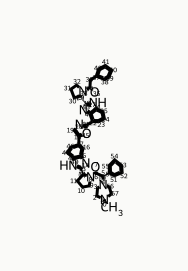 CN1CCN([C@@H](C(=O)N2CCC[C@H]2c2nc3cc(-c4cnc(-c5cccc6[nH]c([C@@H]7CCCN7C(=O)[CH]c7ccccc7)nc56)o4)ccc3[nH]2)c2ccccc2)CC1